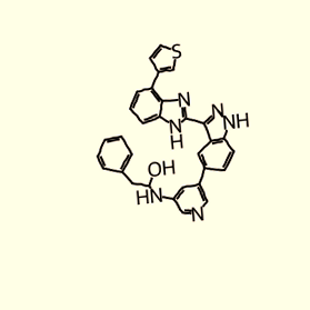 OC(Cc1ccccc1)Nc1cncc(-c2ccc3[nH]nc(-c4nc5c(-c6ccsc6)cccc5[nH]4)c3c2)c1